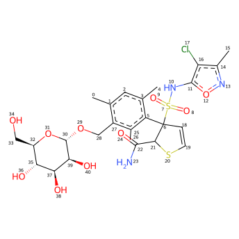 Cc1cc(C)c(C2(S(=O)(=O)Nc3onc(C)c3Cl)C=CSC2C(N)=O)c(C)c1CO[C@H]1O[C@H](CO)[C@@H](O)[C@H](O)[C@@H]1O